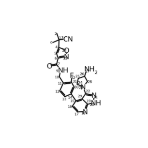 CC(C)(C#N)c1cc(C(=O)NCc2ccc(-c3ccnc4[nH]nc(N5CCC(N)C5)c34)cc2F)no1